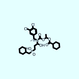 CC(OC(=O)C1CCCCC1)OC(=O)N(C(O)CCP(=O)(O)CC1CCCCC1)[C@H](C)c1ccc(Cl)c(Cl)c1